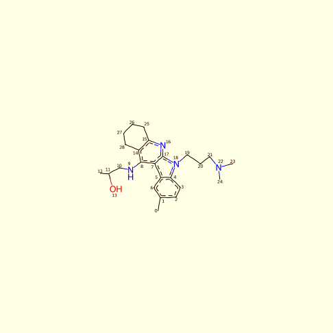 Cc1ccc2c(c1)c1c(NCC(C)O)c3c(nc1n2CCCN(C)C)CCCC3